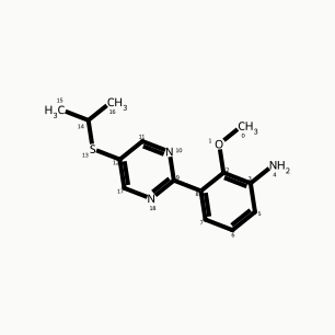 COc1c(N)cccc1-c1ncc(SC(C)C)cn1